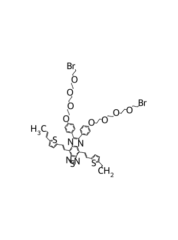 C=Cc1ccc(C=Cc2c3nsnc3c(C=Cc3ccc(C=CC)s3)c3nc(-c4ccc(OCCOCCOCCOCCBr)cc4)c(-c4ccc(OCCOCCOCCOCCBr)cc4)nc23)s1